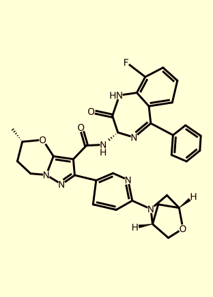 C[C@H]1CCn2nc(-c3ccc(N4C[C@H]5C[C@@H]4CO5)nc3)c(C(=O)N[C@H]3N=C(c4ccccc4)c4cccc(F)c4NC3=O)c2O1